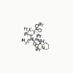 C/C(=C\[C@H](C(C)C)N(C)C(=O)[C@@H](NC(=O)C1CCCCN1C(C)C)C(C)C)C(=O)OC(C)C